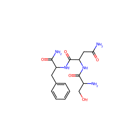 NC(=O)CC(NC(=O)C(N)CO)C(=O)NC(Cc1ccccc1)C(N)=O